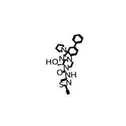 C#Cc1nc(NC(=O)N2CCN(C3=CC=C(c4ccccc4)CC3(C#N)N3CCCC3)C[C@@H]2CO)cs1